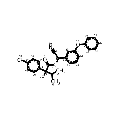 CC(C)C(F)(C(=O)OC(C#N)c1cccc(Oc2ccccc2)c1)c1ccc(Cl)cc1